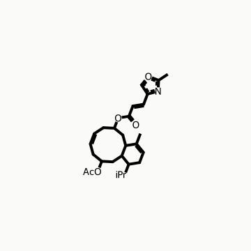 CC(=O)OC1CC=CCC(OC(=O)C=Cc2coc(C)n2)CC2C(C)=CCC(C(C)C)C2C1